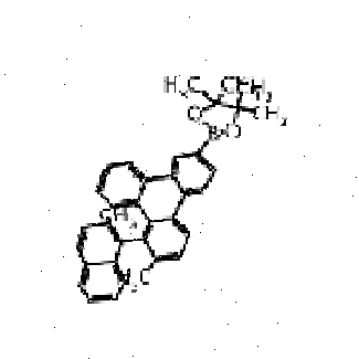 Cc1ccc2ccccc2c1-c1c(C)ccc2c3ccc(B4OC(C)(C)C(C)(C)O4)cc3c3ccccc3c12